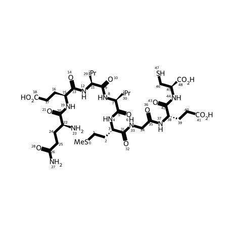 CSCC[C@H](NC(=O)[C@@H](NC(=O)[C@@H](NC(=O)[C@H](CCC(=O)O)NC(=O)[C@@H](N)CCC(N)=O)C(C)C)C(C)C)C(=O)NCC(=O)N[C@@H](CCC(=O)O)C(=O)N[C@@H](CS)C(=O)O